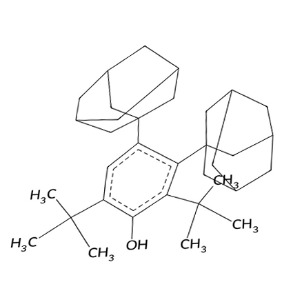 CC(C)(C)c1cc(C23CC4CC(CC(C4)C2)C3)c(C23CC4CC(CC(C4)C2)C3)c(C(C)(C)C)c1O